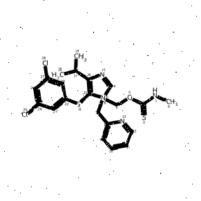 CNC(=S)OC[N+]1(Cc2ccccn2)C=NC(C(C)C)=C1Sc1cc(Cl)cc(Cl)c1